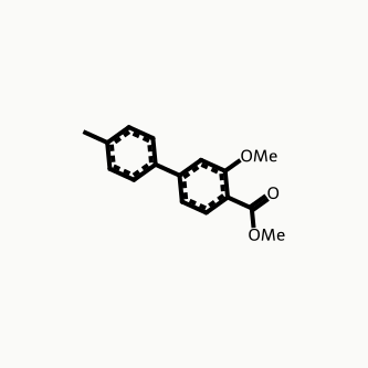 COC(=O)c1ccc(-c2ccc(C)cc2)cc1OC